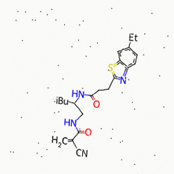 C=C(C#N)C(=O)NCC(NC(=O)CCc1nc2ccc(CC)cc2s1)C(C)CC